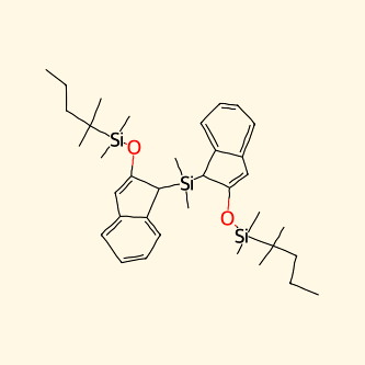 CCCC(C)(C)[Si](C)(C)OC1=Cc2ccccc2C1[Si](C)(C)C1C(O[Si](C)(C)C(C)(C)CCC)=Cc2ccccc21